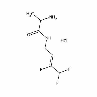 CC(N)C(=O)NCC=C(F)C(F)F.Cl